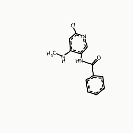 CNc1cc(Cl)ncc1NC(=O)c1ccccc1